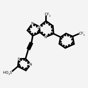 O=S(=O)(O)c1cnc(C#Cc2cnn3c(C(F)(F)F)cc(-c4cccc(C(F)(F)F)c4)nc23)s1